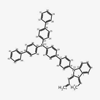 C=C/C=c1\c(=C/C)c2ccccc2n1-c1ccc(-c2ccc(N(c3ccc(-c4ccccc4)cc3)c3ccc(-c4ccccc4)cc3)cc2)cc1